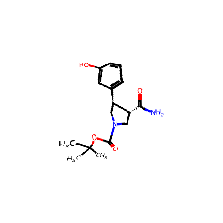 CC(C)(C)OC(=O)N1C[C@@H](C(N)=O)[C@H](c2cccc(O)c2)C1